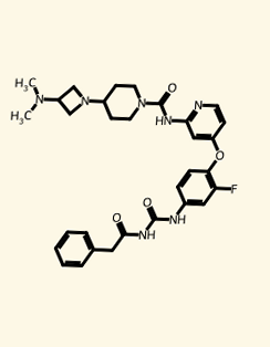 CN(C)C1CN(C2CCN(C(=O)Nc3cc(Oc4ccc(NC(=O)NC(=O)Cc5ccccc5)cc4F)ccn3)CC2)C1